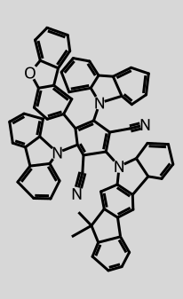 CC1(C)c2ccccc2-c2cc3c(cc21)N(c1c(C#N)c(-n2c4ccccc4c4ccccc42)c(-c2ccc4oc5ccccc5c4c2)c(-n2c4ccccc4c4ccccc42)c1C#N)C1C=CC=CC31